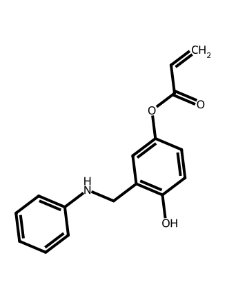 C=CC(=O)Oc1ccc(O)c(CNc2ccccc2)c1